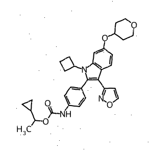 CC(OC(=O)Nc1ccc(-c2c(-c3ccon3)c3ccc(OC4CCOCC4)cc3n2C2CCC2)cc1)C1CC1